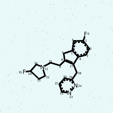 Fc1ccc2c(c1)CC(CCN1CCC(F)C1)=C2Cc1cccnn1